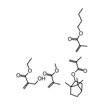 C=C(C)C(=O)OC.C=C(C)C(=O)OC1CC2CCC1(C)C2(C)C.C=C(C)C(=O)OCCCC.C=C(CO)C(=O)OCC